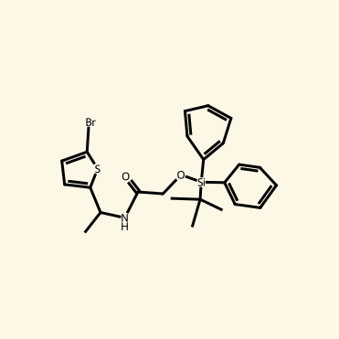 CC(NC(=O)CO[Si](c1ccccc1)(c1ccccc1)C(C)(C)C)c1ccc(Br)s1